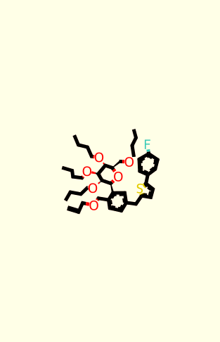 C=CCOCc1ccc(Cc2ccc(-c3ccc(F)cc3)s2)cc1[C@@H]1O[C@H](COCCCC)[C@@H](OCCCC)[C@H](OCCCC)[C@H]1OCCCC